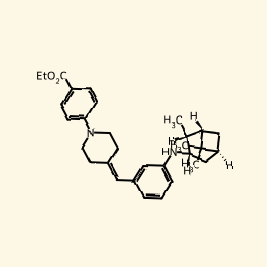 CCOC(=O)c1ccc(N2CCC(=Cc3cccc(N[C@H]4C[C@@H]5C[C@@H]([C@H]4C)C5(C)C)c3)CC2)cc1